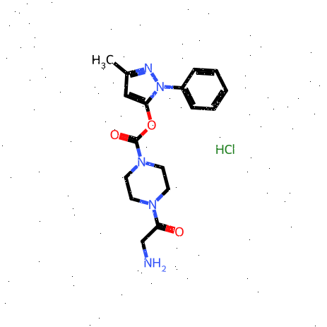 Cc1cc(OC(=O)N2CCN(C(=O)CN)CC2)n(-c2ccccc2)n1.Cl